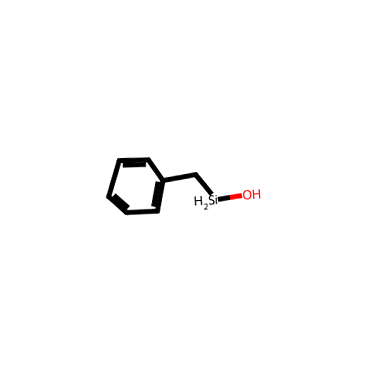 O[SiH2]Cc1ccccc1